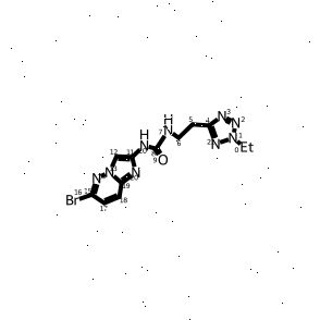 CCn1nnc(CCNC(=O)Nc2cn3nc(Br)ccc3n2)n1